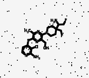 Cc1nc(N2CCC(CF)(C(N)CF)CC2)c(CO)nc1Sc1ccnc(N)c1Cl